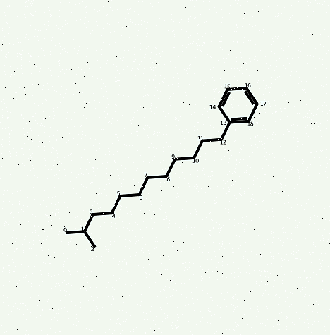 CC(C)CCCCCCCCCCc1[c]cccc1